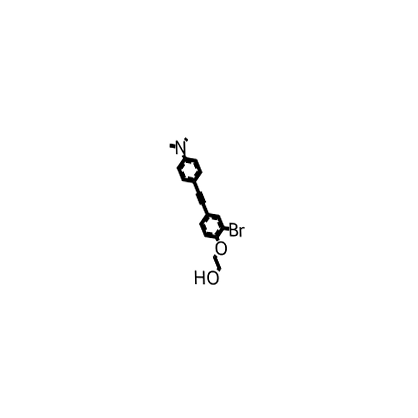 CN(C)c1ccc(C#Cc2ccc(OCCO)c(Br)c2)cc1